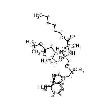 CCCCCCOC(=O)C(C)(C)NP(=O)(COC(C)Cn1cnc2c(N)ncnc21)NC(CC(=O)OC(C)C)C(C)C